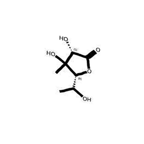 CC(O)[C@H]1OC(=O)[C@@H](O)C1(C)O